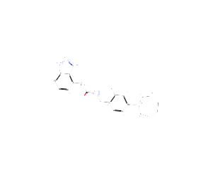 O=C(NCc1ccc(N2CCCCCC2)cc1Cl)Nc1cccc2[nH]ncc12